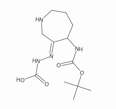 CC(C)(C)OC(=O)NC1CCCNCC1=NNC(=O)O